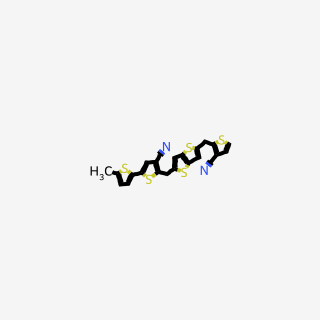 Cc1ccc(-c2cc(C#N)c(Cc3cc4sc(Cc5sccc5C#N)cc4s3)s2)s1